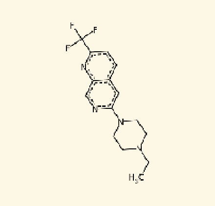 CCN1CCN(c2cc3ccc(C(F)(F)F)nc3cn2)CC1